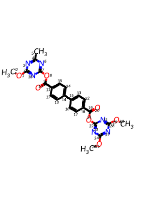 COc1nc(C)nc(OC(=O)c2ccc(-c3ccc(C(=O)Oc4nc(OC)nc(OC)n4)cc3)cc2)n1